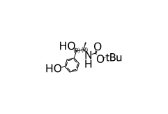 C[C@@H](NC(=O)OC(C)(C)C)[C@H](O)c1cccc(O)c1